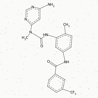 Cc1ccc(NC(=O)c2cccc(C(F)(F)F)c2)cc1NC(=O)N(C)c1cc(N)ncn1